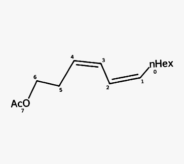 CCCCCC/C=C\C=C/CCOC(C)=O